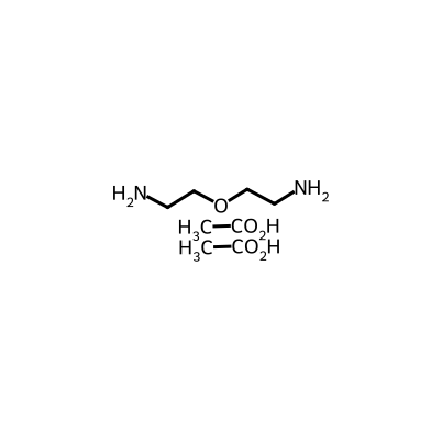 CC(=O)O.CC(=O)O.NCCOCCN